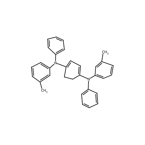 Cc1cccc(N(C2=CC=C(N(c3ccccc3)c3cccc(C)c3)CC2)c2ccccc2)c1